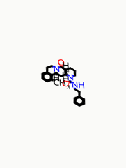 Cc1cccc2c1[C@@H]1C[C@@H]3[C@@H](CCCN3C(=O)NCCc3ccccc3)C(=O)N1CC2